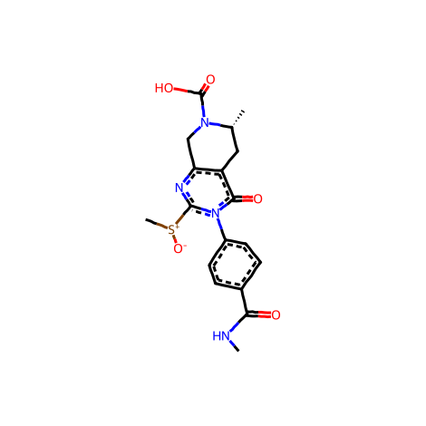 CNC(=O)c1ccc(-n2c([S+](C)[O-])nc3c(c2=O)C[C@@H](C)N(C(=O)O)C3)cc1